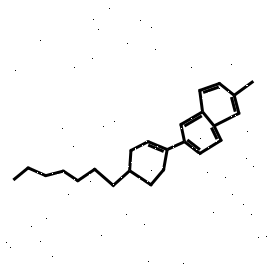 CCCCCCCC1CC=C(c2ccc3cc(C)ccc3c2)CC1